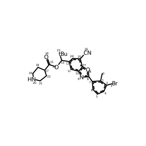 Cc1c(Br)cccc1-c1nc2cc(C(OC(=O)C3CCNCC3)C(C)(C)C)cc(C#N)c2o1